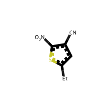 CCc1cc(C#N)c([N+](=O)[O-])s1